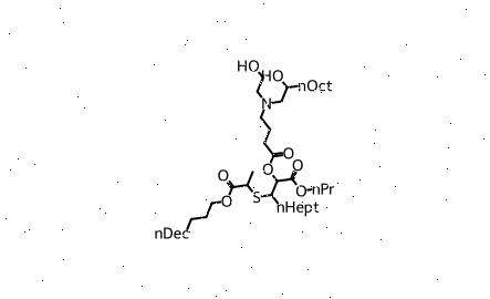 CCCCCCCCCCCCCOC(=O)C(C)SC(CCCCCCC)C(OC(=O)CCCN(CCO)CC(O)CCCCCCCC)C(=O)OCCC